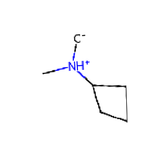 [CH2-][NH+](C)C1CCC1